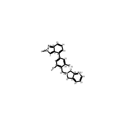 Cn1cc2c(-c3cc(F)c(CN4Cc5cccnc5C4)c(F)c3)cccc2n1